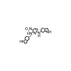 O=[N+]([O-])c1cnc(Nc2ccc3cc[nH]c3c2)nc1NCc1ccc2[nH]ccc2c1